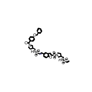 C=CS(=O)(=O)NCC1CCN(S(=O)(=O)c2cc3cc(/C=C/S(=O)(=O)NCC4CCN(C(=O)c5ccc(OCc6ccccc6)cc5)C4)ccc3o2)C1